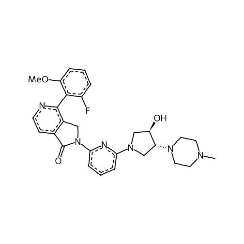 COc1cccc(F)c1-c1nccc2c1CN(c1cccc(N3C[C@@H](O)[C@H](N4CCN(C)CC4)C3)n1)C2=O